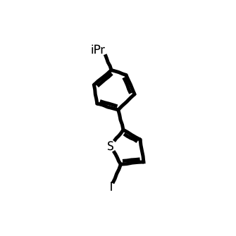 CC(C)c1ccc(-c2ccc(I)s2)cc1